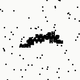 CC(=O)Nc1nc(CCc2ccc(COC(=O)NNC(=O)OC(C)(C)C)cc2F)cs1